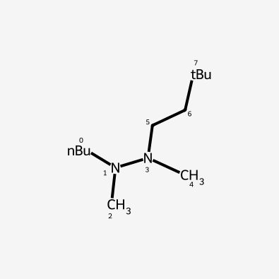 CCCCN(C)N(C)CCC(C)(C)C